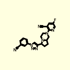 N#Cc1cccc(-n2cc(C3CCC4CN(c5ncc(F)cc5C#N)CCN43)nn2)c1